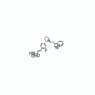 O=C(/C=C/c1ccc([C@@H]2CCCN2CCc2cnn3ccccc23)cc1F)NO